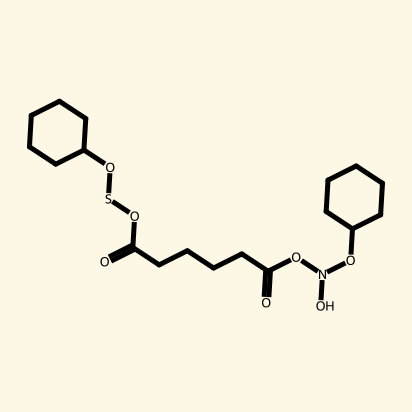 O=C(CCCCC(=O)ON(O)OC1CCCCC1)OSOC1CCCCC1